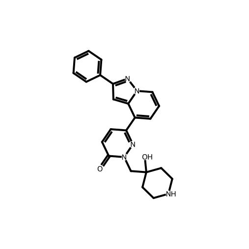 O=c1ccc(-c2cccn3nc(-c4ccccc4)cc23)nn1CC1(O)CCNCC1